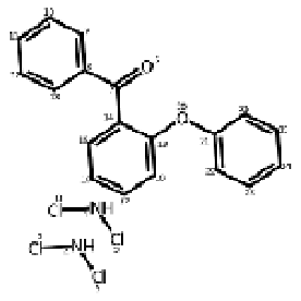 ClNCl.ClNCl.O=C(c1ccccc1)c1ccccc1Oc1ccccc1